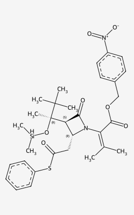 CC(C)=C(C(=O)OCc1ccc([N+](=O)[O-])cc1)N1C(=O)[C@H]([C@@](C)(O[SiH](C)C)C(C)(C)C)[C@H]1CC(=O)Sc1ccccc1